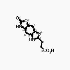 O=C(O)CCc1nc2cc3oc(=O)[nH]c3cc2[nH]1